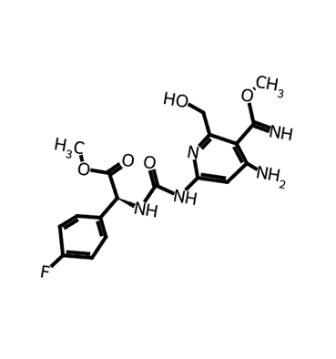 COC(=N)c1c(N)cc(NC(=O)N[C@H](C(=O)OC)c2ccc(F)cc2)nc1CO